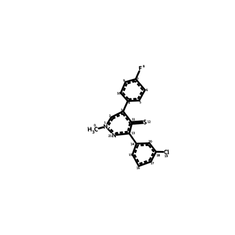 Cn1cc(-c2ccc(F)cc2)c(=S)c(-c2cccc(Cl)c2)n1